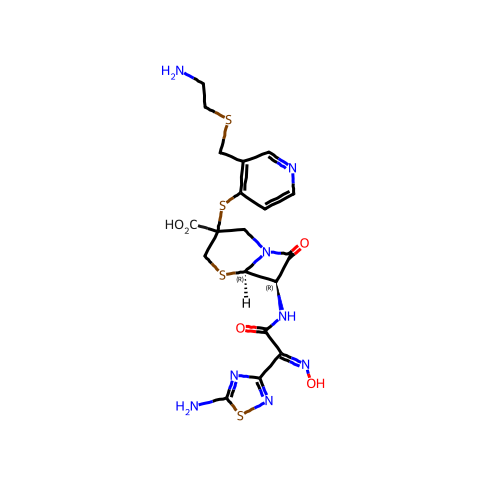 NCCSCc1cnccc1SC1(C(=O)O)CS[C@@H]2[C@H](NC(=O)C(=NO)c3nsc(N)n3)C(=O)N2C1